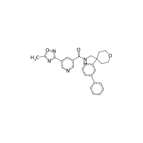 Cc1nc(-c2cncc(C(=O)NCC3(c4cccc(-c5ccccc5)c4)CCOCC3)c2)no1